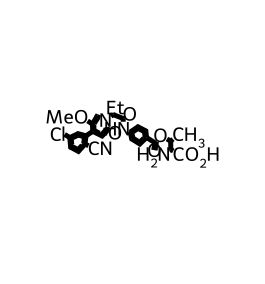 CCC(C(=O)Nc1ccc(C(=O)OC(C)C(N)C(=O)O)cc1)n1cc(OC)c(-c2cc(Cl)ccc2C#N)cc1=O